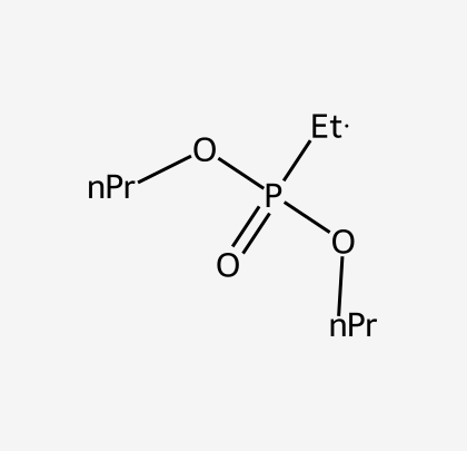 C[CH]P(=O)(OCCC)OCCC